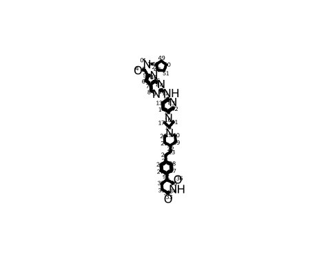 CN(C)C(=O)c1cc2cnc(Nc3ccc(N4CC(N5CCC(CCc6ccc(C7CCC(=O)NC7=O)cc6)CC5)C4)cn3)nc2n1C1CCCC1